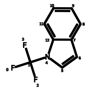 FC(F)(F)n1ccc2ccccc21